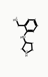 OCc1ccccc1NC1CCNC1